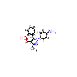 Nc1ccc(-n2nc(C(F)(F)F)c(CO)c2-c2ccccc2)cc1